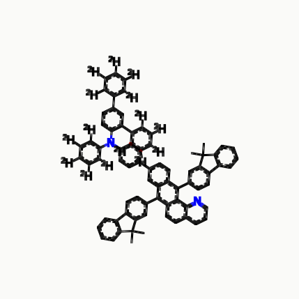 [2H]c1c([2H])c([2H])c(-c2ccc(N(c3ccc(-c4ccc5c(-c6ccc7c(c6)C(C)(C)c6ccccc6-7)c6c(ccc7cccnc76)c(-c6ccc7c(c6)C(C)(C)c6ccccc6-7)c5c4)cc3)c3c([2H])c([2H])c([2H])c([2H])c3[2H])c(-c3c([2H])c([2H])c([2H])c([2H])c3[2H])c2)c([2H])c1[2H]